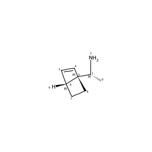 C[C@@H](N)[C@@]12C=C[C@H]1CC2